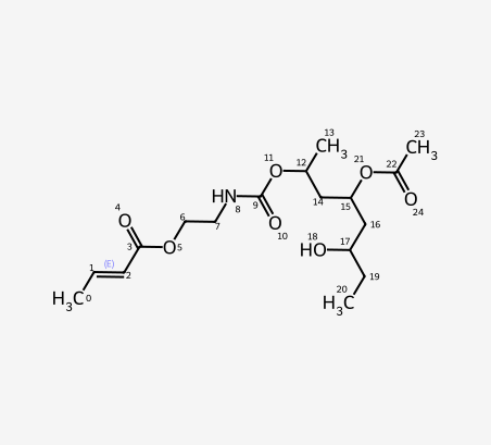 C/C=C/C(=O)OCCNC(=O)OC(C)CC(CC(O)CC)OC(C)=O